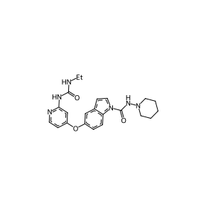 CCNC(=O)Nc1cc(Oc2ccc3c(ccn3C(=O)NN3CCCCC3)c2)ccn1